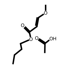 CC(=O)O.CCCCOC(=O)C=COC